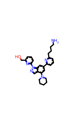 NCCCCc1cccc(-c2cc(N3CCCCC3)c3cnn(-c4cccc(CO)n4)c3c2)n1